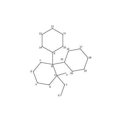 CCC1(C)CCCCC1(C1CCCCC1)C1CCCCC1